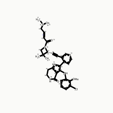 COc1c(Cl)cccc1Nc1c(-c2ccncc2C#C[C@H]2N(C(=O)/C=C/CN(C)C)CC2(C)C)[nH]c2c1C(=O)NCC2